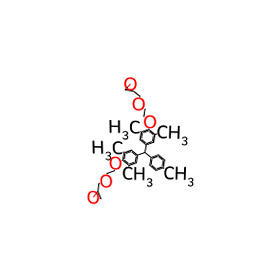 Cc1ccc(C(c2cc(C)c(OCCOCC3CO3)c(C)c2)c2cc(C)c(OCCOCC3CO3)c(C)c2)cc1